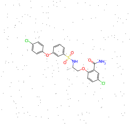 C[C@@H](COc1ccc(Cl)cc1C(N)=O)NS(=O)(=O)c1cccc(Oc2ccc(Cl)cc2)c1